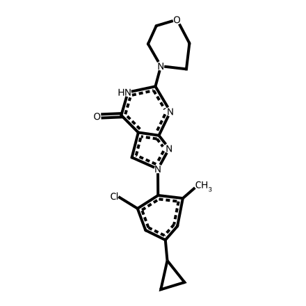 Cc1cc(C2CC2)cc(Cl)c1-n1cc2c(=O)[nH]c(N3CCOCC3)nc2n1